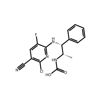 C[C@H](NC(=O)O)[C@H](Nc1nc(Cl)c(C#N)cc1F)c1ccccc1